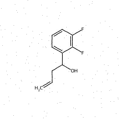 C=CCC(O)c1cccc(F)c1F